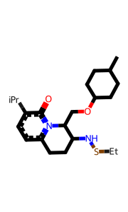 CCSNC1CCc2ccc(C(C)C)c(=O)n2C1COC1CCC(C)CC1